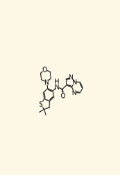 CC1(C)Cc2cc(NC(=O)c3cnn4cccnc34)c(N3CCOCC3)cc2S1